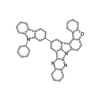 c1ccc(-n2c3ccccc3c3ccc(-c4cc5c6nc7ccccc7nc6n6c7ccc8oc9ccccc9c8c7c(c4)c56)cc32)cc1